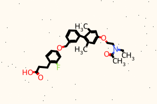 CCN(CCOc1cc(C)c(-c2cccc(COc3ccc(CCC(=O)O)c(F)c3)c2)c(C)c1)C(C)=O